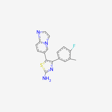 Cc1cc(-c2nc(N)sc2-c2ccc3nccn3c2)ccc1F